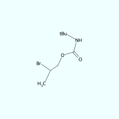 CC(Br)COC(=O)NC(C)(C)C